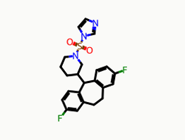 O=S(=O)(N1CCCC(C2c3ccc(F)cc3CCc3cc(F)ccc32)C1)n1ccnc1